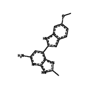 COc1ccc2cc(-c3cc(N)nc4[nH]c(C)nc34)[nH]c2c1